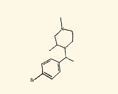 CC1CN(C)CCN1C(C)c1ccc(Br)cc1